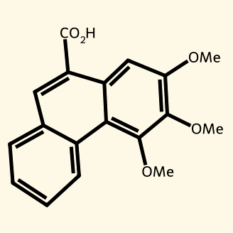 COc1cc2c(C(=O)O)cc3ccccc3c2c(OC)c1OC